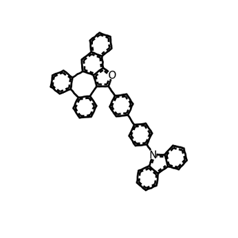 c1ccc2c(c1)-c1ccccc1-c1c(-c3ccc(-c4ccc(-n5c6ccccc6c6ccccc65)cc4)cc3)oc3c1c-2cc1ccccc13